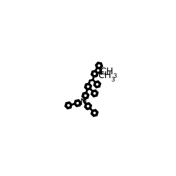 CC1(C)c2ccccc2-c2ccc(C(Cc3ccc(-c4ccc(N(c5ccc(-c6ccccc6)cc5)c5ccc(-c6ccccc6)cc5)cc4)c(-c4ccccc4)c3)c3ccccc3)cc21